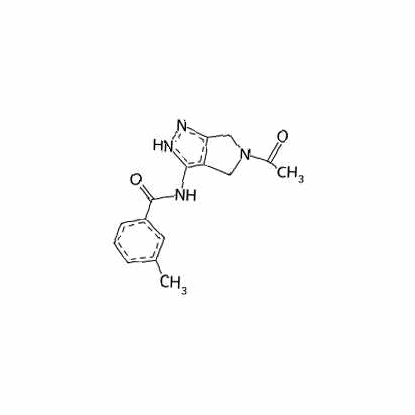 CC(=O)N1Cc2n[nH]c(NC(=O)c3cccc(C)c3)c2C1